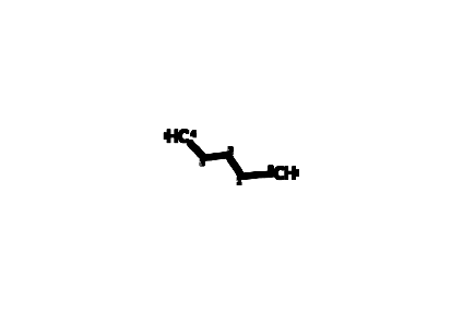 [CH]CCC[CH]